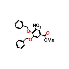 COC(=O)c1cc(OCc2ccccc2)c(OCc2ccccc2)c([N+](=O)[O-])c1